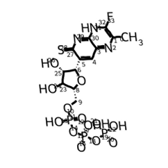 Cc1nc2cc([C@@H]3O[C@H](COP(=O)(O)OP(=O)(O)OP(=O)(O)O)C(O)[C@@H]3O)c(=S)nc-2[nH]c1F